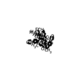 C[C@@H](Cc1ccc(N2CCOCC2)cc1)OC(=O)C(CC(C)(C)F)N(C)C(=O)[C@@H](C)OC(=O)C(CC1CC1)N(C)C(=O)[C@@H](Cc1ccc(N2CCOCC2)cc1)OC(=O)C(CC(C)(C)F)N(C)C